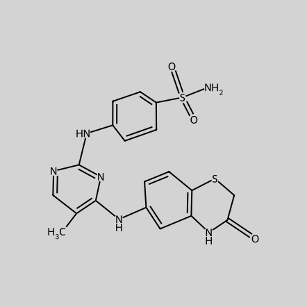 Cc1cnc(Nc2ccc(S(N)(=O)=O)cc2)nc1Nc1ccc2c(c1)NC(=O)CS2